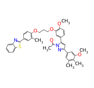 COc1ccc(-c2cc(-c3cc(C)c(C)c(OC)c3)nn2C(C)=O)cc1OCCCOc1ccc(-c2nc3ccccc3s2)cc1C